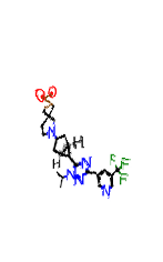 CC(C)n1nc(-c2cncc(C(F)(F)F)c2)nc1C1[C@H]2CC(N3CCC4(C3)CS(=O)(=O)C4)C[C@@H]12